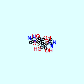 N#CC(C#N)=C1/C(=C/c2cc3c(s2)-c2cc4c(cc2C3(c2ccc(O)cc2)c2ccc(O)cc2)-c2sc3cc(/C=C5\C(=O)c6ccccc6C5=C(C#N)C#N)sc3c2C4(c2ccc(O)cc2)c2ccc(O)cc2)C(=O)c2ccccc21